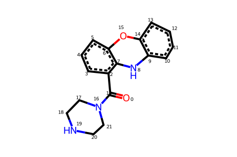 O=C(c1cccc2c1Nc1ccccc1O2)N1CCNCC1